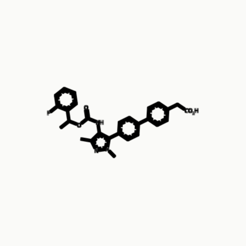 Cc1nn(C)c(-c2ccc(-c3ccc(CC(=O)O)cc3)cc2)c1NC(=O)OC(C)c1ccccc1F